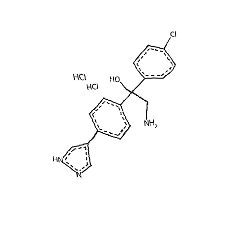 Cl.Cl.NCC(O)(c1ccc(Cl)cc1)c1ccc(-c2cn[nH]c2)cc1